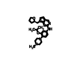 CC(C)Oc1cc(Nc2ncc3ccn(C[C@H]4CCCO4)c3n2)ccc1N1CCN(C)CC1